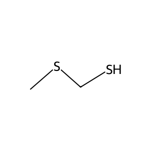 CSCS